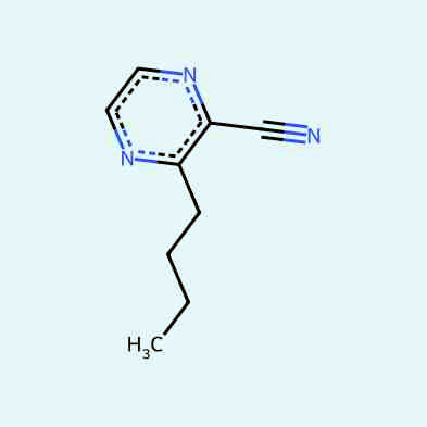 CCCCc1nccnc1C#N